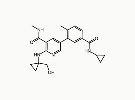 CNC(=O)c1cc(-c2cc(C(=O)NC3CC3)ccc2C)cnc1NC1(CO)CC1